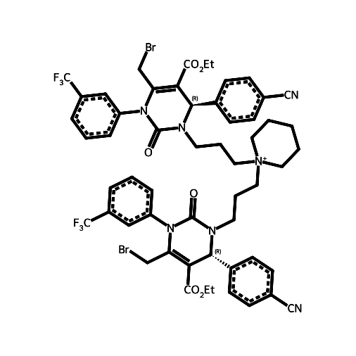 CCOC(=O)C1=C(CBr)N(c2cccc(C(F)(F)F)c2)C(=O)N(CCC[N+]2(CCCN3C(=O)N(c4cccc(C(F)(F)F)c4)C(CBr)=C(C(=O)OCC)[C@H]3c3ccc(C#N)cc3)CCCCC2)[C@@H]1c1ccc(C#N)cc1